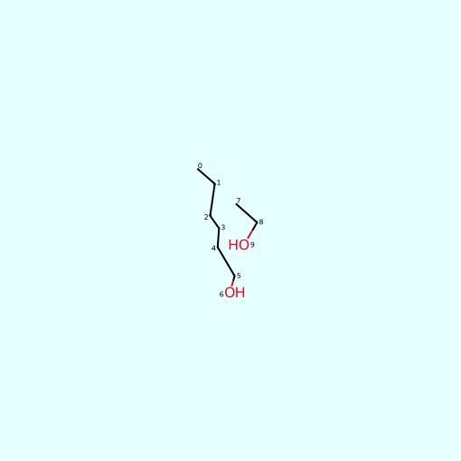 CCCCCCO.CCO